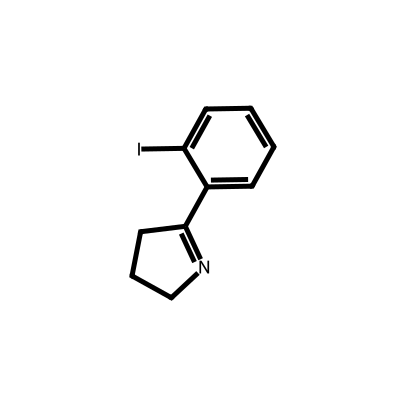 Ic1ccccc1C1=NCCC1